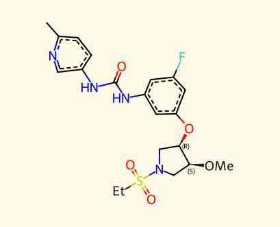 CCS(=O)(=O)N1C[C@H](OC)[C@H](Oc2cc(F)cc(NC(=O)Nc3ccc(C)nc3)c2)C1